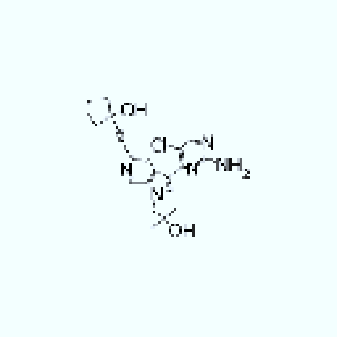 CC(C)(O)Cn1cc(-c2nc(N)ncc2Cl)c2cc(C#CC3(O)CCCC3)ncc21